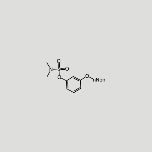 CCCCCCCCCOc1cccc(OS(=O)(=O)N(C)C)c1